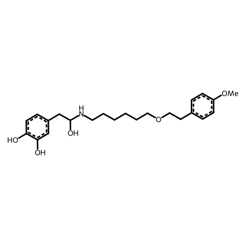 COc1ccc(CCOCCCCCCNC(O)Cc2ccc(O)c(O)c2)cc1